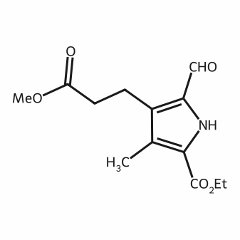 CCOC(=O)c1[nH]c(C=O)c(CCC(=O)OC)c1C